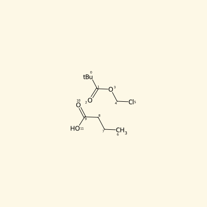 CC(C)(C)C(=O)OCCl.CCCC(=O)O